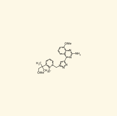 COCC(C)(C)c1cccc(Cn2cc(-c3nc(N)nc4c(OC)cccc34)nn2)[n+]1[O-]